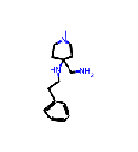 NCC1(NCCc2ccccc2)CCNCC1